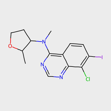 CC1OCCC1N(C)c1ncnc2c(Cl)c(I)ccc12